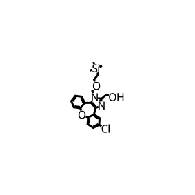 C[Si](C)(C)CCOCn1c(CO)nc2c1-c1ccccc1Oc1ccc(Cl)cc1-2